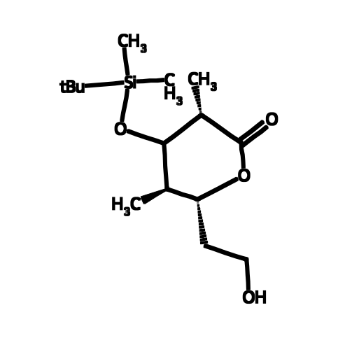 C[C@@H]1C(=O)O[C@H](CCO)[C@@H](C)C1O[Si](C)(C)C(C)(C)C